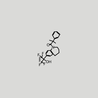 CC(C)(C(=O)N1CCCCc2cc(C(O)(C(F)(F)F)C(F)(F)F)ccc21)c1ccccc1